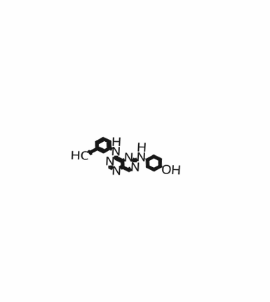 C#Cc1cccc(Nc2ncnc3cnc(N[C@H]4CC[C@H](O)CC4)nc23)c1